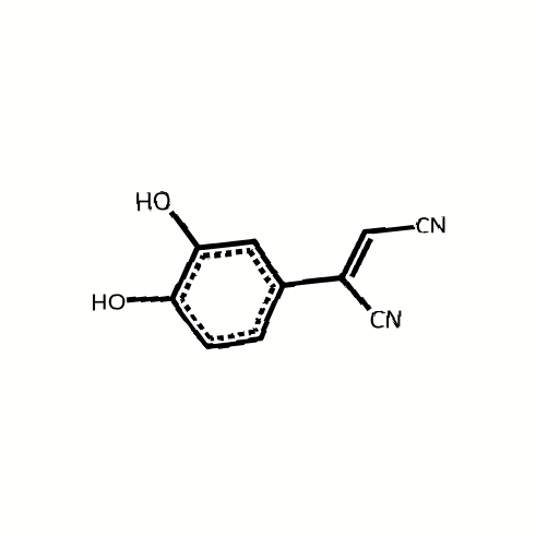 N#CC=C(C#N)c1ccc(O)c(O)c1